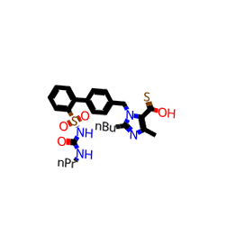 CCCCc1nc(C)c(C(O)=S)n1Cc1ccc(-c2ccccc2S(=O)(=O)NC(=O)NCCC)cc1